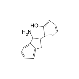 NC1c2ccccc2CC1c1ccccc1O